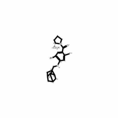 CC(C)c1cc(C(=O)N2CCC[C@H]2C(=O)O)c(F)cc1OCC12CC3CC(CC1C3)C2